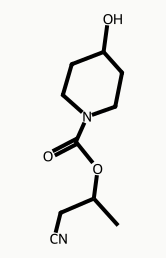 CC(CC#N)OC(=O)N1CCC(O)CC1